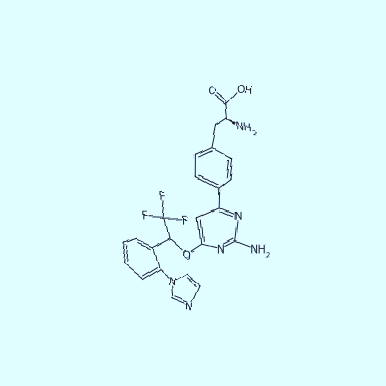 Nc1nc(OC(c2ccccc2-n2ccnc2)C(F)(F)F)cc(-c2ccc(C[C@H](N)C(=O)O)cc2)n1